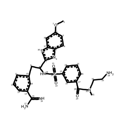 COc1ccc2nc(C(Cc3cccc(C(=N)N)c3)NS(=O)(=O)c3cccc(C(=O)N(C)CCN)c3)sc2c1